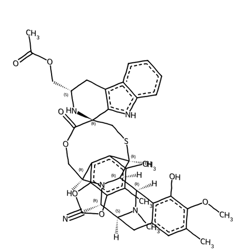 COc1c(C)cc2c(c1O)[C@@H]1[C@@H]3[C@@H]4SC[C@]5(N[C@H](COC(C)=O)Cc6c5[nH]c5ccccc65)C(=O)OC[C@@H](c5c6c(c(C)c(C)c54)OCO6)N3[C@@H](C#N)[C@H](C2)N1C